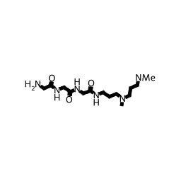 CNCCCN(C)CCCNC(=O)CNC(=O)CNC(=O)CN